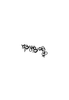 Cc1cn2cc(NC(=O)N3CCc4c(N5CC[C@]6(CN(C(=O)OC(C)(C)C)CCO6)C5)ccnc43)cc(F)c2n1